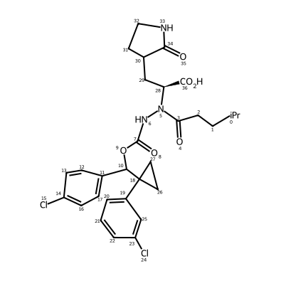 CC(C)CCC(=O)N(NC(=O)OC(c1ccc(Cl)cc1)C1(c2cccc(Cl)c2)CC1)[C@@H](CC1CCNC1=O)C(=O)O